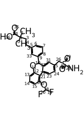 CC(C)(CCc1cccc(C2Oc3cccc(OC(F)F)c3-c3ccc(CS(N)(=O)=O)cc32)c1)C(=O)O